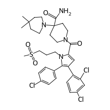 CC1(C)CCN(C2(C(N)=O)CCN(C(=O)c3cc(-c4ccc(Cl)cc4Cl)c(-c4ccc(Cl)cc4)n3CCCS(C)(=O)=O)CC2)CC1